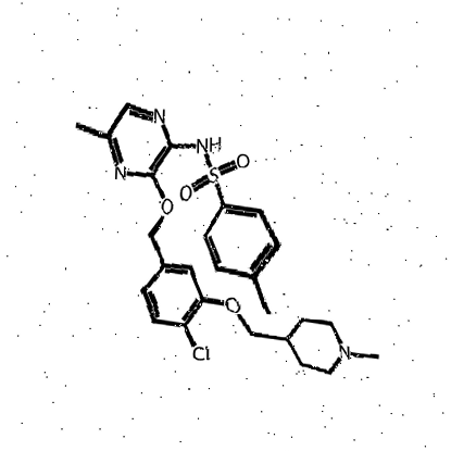 Cc1ccc(S(=O)(=O)Nc2ncc(C)nc2OCc2ccc(Cl)c(OCC3CCN(C)CC3)c2)cc1